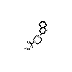 CC(C)(C)OC(=O)N1CCCN(c2cnc3ccccc3c2)CC1